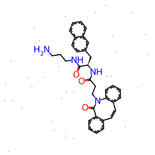 NCCCNC(=O)[C@@H](Cc1ccc2ccccc2c1)NC(=O)CCN1C(=O)c2ccccc2/C=C\c2ccccc21